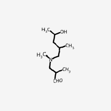 CC(O)CC(C)CN(C)CC(C)C=O